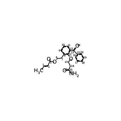 CC=CC(=O)OCCc1cccc(C(=O)c2ccccc2)c1OCCC(N)=O